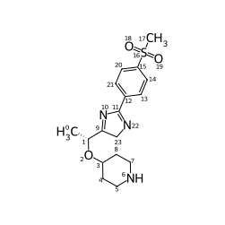 C[C@@H](OC1CCNCC1)C1=NC(c2ccc(S(C)(=O)=O)cc2)=NC1